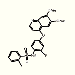 COc1cc2nccc(Oc3ccc(NS(=O)(=O)c4ccccc4C)c(F)c3)c2cc1OC